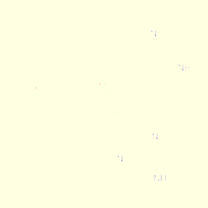 COCCOc1ccnc2[nH]cc(-c3ccnc(N)n3)c12